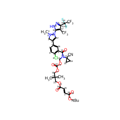 CN1CC(c2ccc(Cl)c(C(=O)N(COC(=O)OCC(C)(C)COC(=O)/C=C/C(=O)OC(C)(C)C)C3(C#N)CC3)c2)=CN1c1[nH]nc(C(F)(F)C(F)(F)F)c1C(F)(F)F